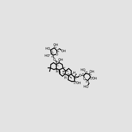 CC1(C)CC[C@]2(CO[C@@H]3O[C@H](CO)[C@@H](O)[C@H](O)[C@H]3O)[C@@H](O)C[C@]3(C)C(=CC[C@@H]4[C@@]5(C)CC[C@H](O)[C@@](C)(CO[C@@H]6O[C@H](CO)[C@@H](O)[C@H](O)[C@H]6O)[C@@H]5CC[C@]43C)[C@@H]2C1